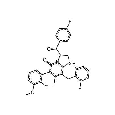 COc1cccc(-c2c(C)c(Cc3c(F)cccc3F)c3n(c2=O)C(C(=O)c2ccc(F)cc2)CS3)c1F